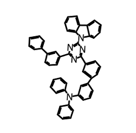 c1ccc(-c2cccc(-c3nc(-c4cccc(-c5cccc(N(c6ccccc6)c6ccccc6)c5)c4)nc(-n4c5ccccc5c5ccccc54)n3)c2)cc1